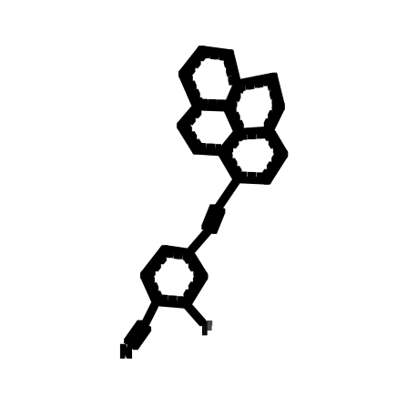 N#Cc1ccc(C#Cc2ccc3ccc4cccc5ccc2c3c45)cc1F